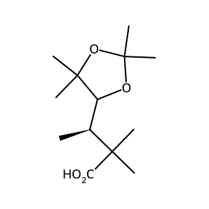 C[C@@H](C1OC(C)(C)OC1(C)C)C(C)(C)C(=O)O